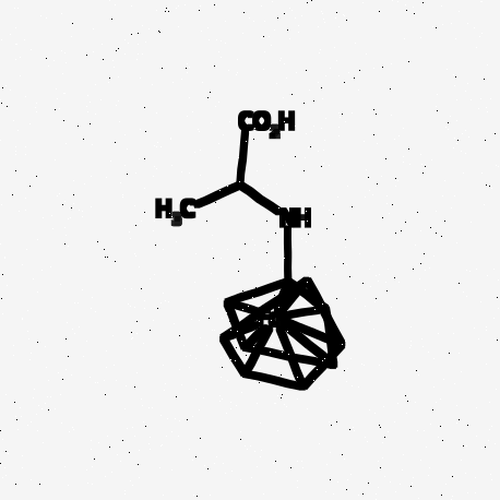 CC(N[C]12[CH]3[CH]4[CH]5[CH]1[Fe]45321678[CH]2[CH]1[CH]6[CH]7[CH]28)C(=O)O